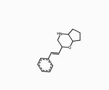 C(=C\C1CNC2CCCC2O1)/c1ccccc1